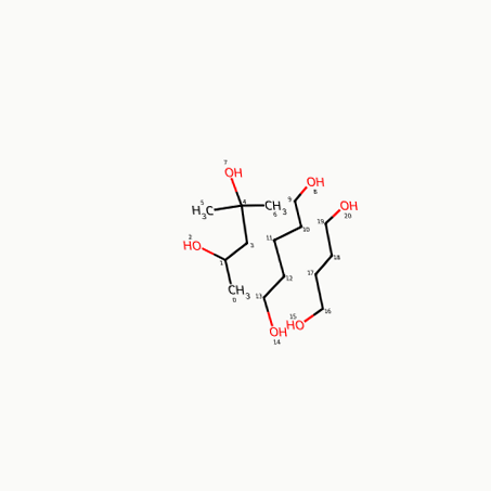 CC(O)CC(C)(C)O.OCCCCCO.OCCCCO